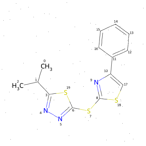 CC(C)c1nnc(Sc2nc(-c3ccccc3)cs2)s1